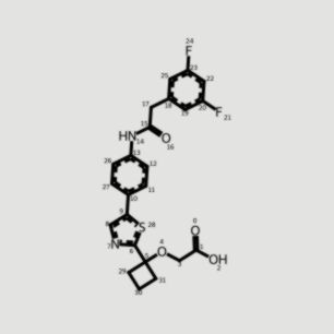 O=C(O)COC1(c2ncc(-c3ccc(NC(=O)Cc4cc(F)cc(F)c4)cc3)s2)CCC1